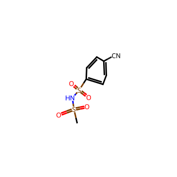 CS(=O)(=O)NS(=O)(=O)c1ccc(C#N)cc1